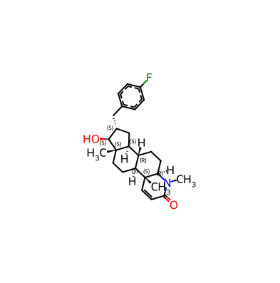 CN1C(=O)C=C[C@]2(C)[C@H]3CC[C@]4(C)[C@@H](O)[C@H](Cc5ccc(F)cc5)C[C@H]4[C@@H]3CC[C@@H]12